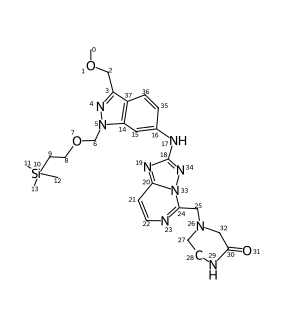 COCc1nn(COCC[Si](C)(C)C)c2cc(Nc3nc4ccnc(CN5CCNC(=O)C5)n4n3)ccc12